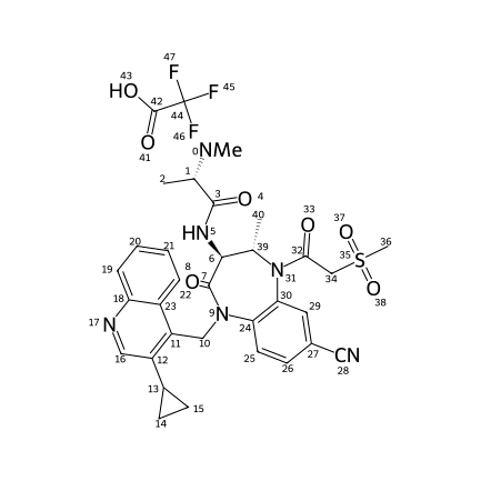 CN[C@@H](C)C(=O)N[C@@H]1C(=O)N(Cc2c(C3CC3)cnc3ccccc23)c2ccc(C#N)cc2N(C(=O)CS(C)(=O)=O)[C@H]1C.O=C(O)C(F)(F)F